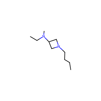 CCCCN1CC(N(C)CC)C1